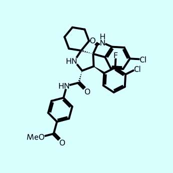 COC(=O)c1ccc(NC(=O)[C@@H]2NC3(CCCCC3)[C@@]3(C(=O)Nc4cc(Cl)ccc43)[C@H]2c2cccc(Cl)c2F)cc1